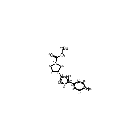 CC(C)(C)OC(=O)N1CC[C@H](c2nc(-c3ccc(I)cc3)no2)C1